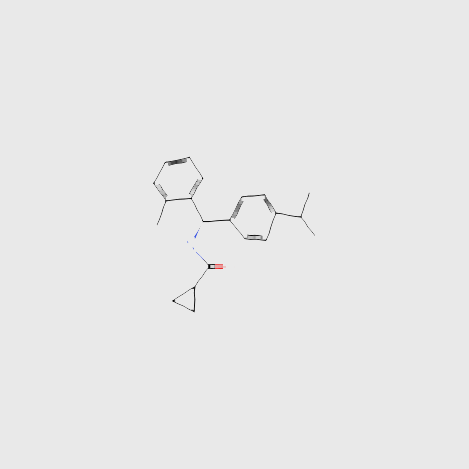 Cc1ccccc1[C@H](NC(=O)C1CC1)c1ccc(C(C)C)cc1